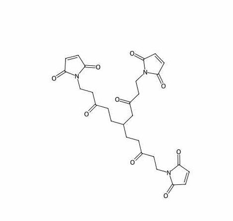 O=C(CCC(CCC(=O)CCN1C(=O)C=CC1=O)CC(=O)CCN1C(=O)C=CC1=O)CCN1C(=O)C=CC1=O